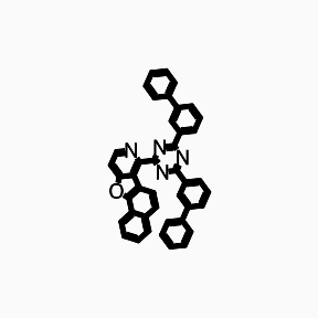 c1ccc(-c2cccc(-c3nc(-c4cccc(-c5ccccc5)c4)nc(-c4nccc5oc6c7ccccc7ccc6c45)n3)c2)cc1